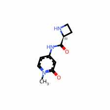 Cn1ccc(NC(=O)[C@@H]2CCN2)cc1=O